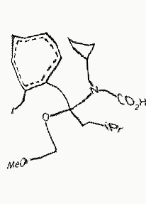 COCOC(CC(C)C)(c1ccccc1I)N(C(=O)O)C1CC1